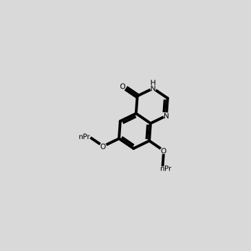 CCCOc1cc(OCCC)c2nc[nH]c(=O)c2c1